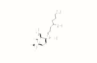 CN(CCCC(N)CCCN)C1=CC=C([N+](=O)[O-])N2ONC=C12